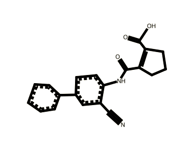 N#Cc1cc(-c2ccccc2)ccc1NC(=O)C1=C(C(=O)O)CCC1